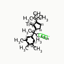 Cc1cc(C(C)(C)C2=[C]([Ti+3])C([Si](C)(C)C)=CC2)cc(C)c1C.[Cl-].[Cl-].[Cl-]